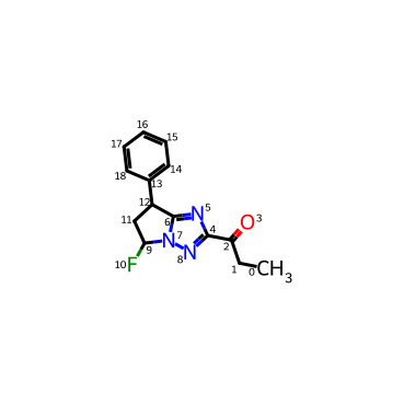 CCC(=O)c1nc2n(n1)C(F)CC2c1ccccc1